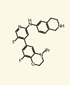 CC(C)N1CCOc2c(F)cc(-c3cc(Nc4ccc5c(c4)CCNC5)ncc3F)cc21